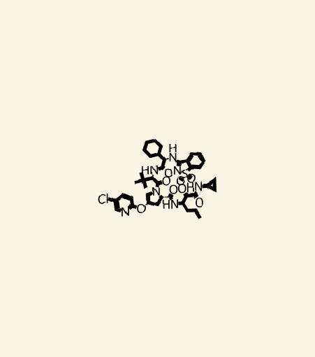 CCCC(NC(=O)[C@@H]1C[C@@H](Oc2ccc(Cl)cn2)CN1C(=O)[C@@H](NC(=O)[C@@H](NC1=NS(=O)(=O)c2ccccc21)C1CCCCC1)C(C)(C)C)C(=O)C(=O)NC1CC1